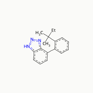 CCC(C)(C)c1ccccc1-c1cccc2[nH]nnc12